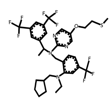 CCN(CC1CCCC1)c1cc(C(F)(F)F)ccc1CN(c1ncc(OCCSC)cn1)C(C)c1cc(C(F)(F)F)cc(C(F)(F)F)c1